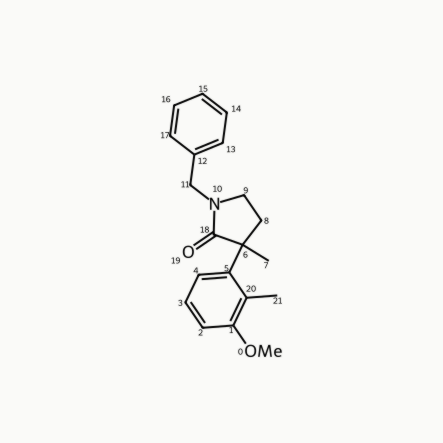 COc1cccc(C2(C)CCN(Cc3ccccc3)C2=O)c1C